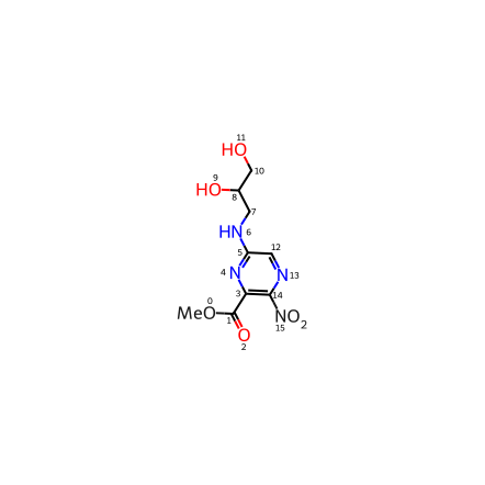 COC(=O)c1nc(NCC(O)CO)cnc1[N+](=O)[O-]